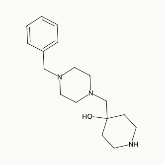 OC1(CN2CCN(Cc3ccccc3)CC2)CCNCC1